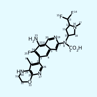 Cc1c(-c2cc3cc(N(C(=O)O)C4CC(C(F)F)N(C)C4)ncc3c(N)c2F)cnc2c1NCCO2